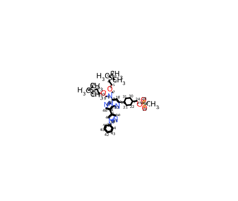 C[Si](C)(C)CCOCN(COCC[Si](C)(C)C)c1cc(C2CCC(COS(C)(=O)=O)CC2)nc2c(-c3cnn(-c4ccccc4)c3)cnn12